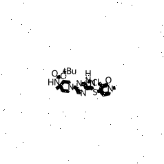 Cn1ccc(Sc2n[nH]c3nc(N4CCC(C)(NC(=O)OC(C)(C)C)CC4)cnc23)c(Cl)c1=O